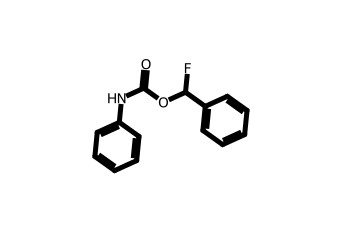 O=C(Nc1ccccc1)OC(F)c1ccccc1